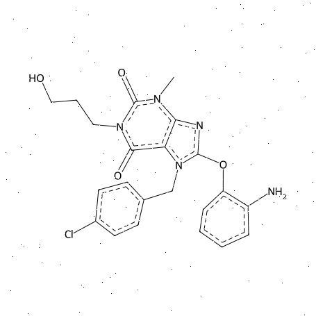 Cn1c(=O)n(CCCO)c(=O)c2c1nc(Oc1ccccc1N)n2Cc1ccc(Cl)cc1